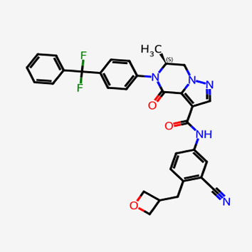 C[C@H]1Cn2ncc(C(=O)Nc3ccc(CC4COC4)c(C#N)c3)c2C(=O)N1c1ccc(C(F)(F)c2ccccc2)cc1